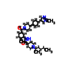 CCCCC(C)N1CCC(C(=O)Nc2cc(C(=O)N3CCC(c4ccc(-c5cnn(C)c5)cc4)CC3)ccc2C)CC1